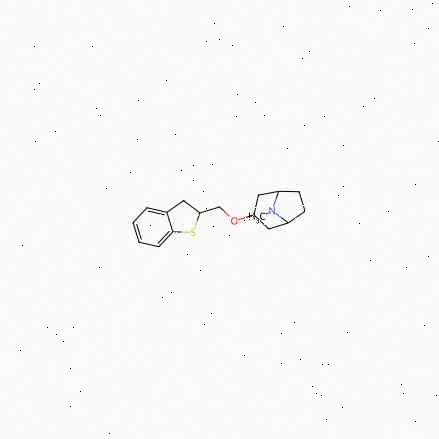 CN1C2CCC1CC(OCC1Cc3ccccc3S1)C2